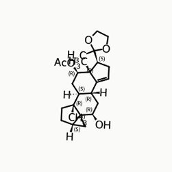 CC(=O)O[C@@H]1C[C@H]2[C@@H](C[C@@H](O)[C@]34C[C@@H]3CC[C@]24C)C2=CC[C@H](C3(C)OCCO3)[C@]21C